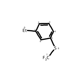 CCc1[c]ccc(SC(F)(F)F)c1